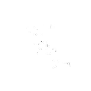 COc1c(Cl)c(NC(=O)N(C)c2cc(-c3cccc(C#N)c3)ncn2)c(Cl)c(OC)c1Cl